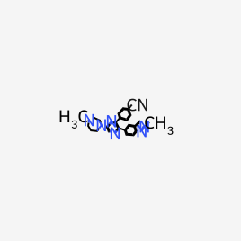 CN1CCCN(c2cnc(-c3ccc4nn(C)cc4c3)c(-c3ccc(C#N)cc3)n2)CC1